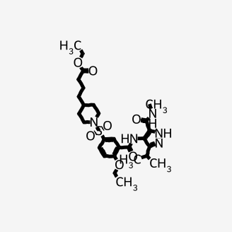 CCOC(=O)CCCC1CCN(S(=O)(=O)c2ccc(OCC)c(C(=O)Nc3c(C(C)C)n[nH]c3C(=O)NC)c2)CC1